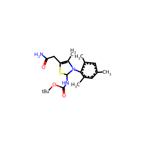 CC1=C(CC(N)=O)SC(NC(=O)OC(C)(C)C)N1c1c(C)cc(C)cc1C